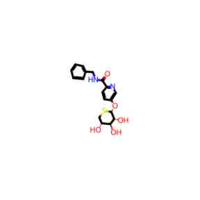 O=C(NCc1ccccc1)c1ccc(O[C@H]2SC[C@@H](O)[C@H](O)[C@H]2O)cn1